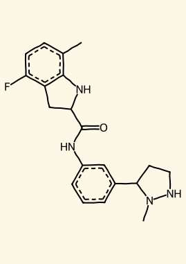 Cc1ccc(F)c2c1NC(C(=O)Nc1cccc(C3CCNN3C)c1)C2